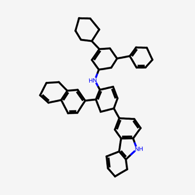 C1=CC(C2CC(C3CCCCC3)=CC(NC3=C(c4ccc5c(c4)CCC=C5)CC(c4ccc5[nH]c6c(c5c4)C=CCC6)C=C3)C2)=CCC1